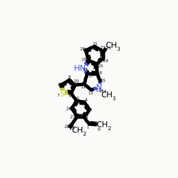 C=Cc1ccc(-c2sccc2C2CN(C)Cc3c2[nH]c2ccc(C)cc32)cc1C=C